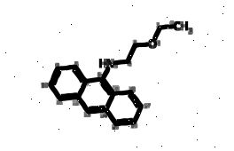 CCOCCNc1c2ccccc2cc2ccccc12